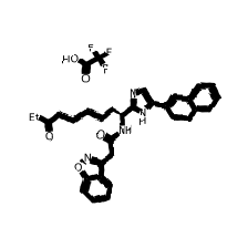 CCC(=O)CCCCC[C@H](NC(=O)Cc1noc2ccccc12)c1ncc(-c2ccc3ccccc3c2)[nH]1.O=C(O)C(F)(F)F